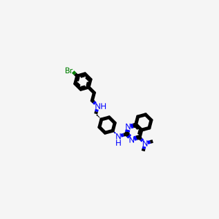 CN(C)c1nc(N[C@H]2CC[C@@H](CNCCc3ccc(Br)cc3)CC2)nc2c1CCCC2